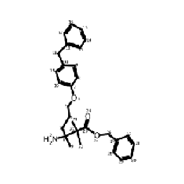 CC(N)(CCCOc1ccc(Cc2ccccc2)cc1)C(C)(C)C(=O)OCc1ccccc1